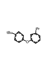 CC(C)c1cccc(Oc2ccc(C(C)(C)C)cc2)c1